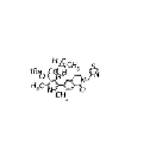 Cc1nc(C)c(C(OC(C)(C)C)C(=O)O)c(N2CCC(C)(C)CC2)c1-c1ccc2c(c1)CCN(Cc1cscn1)C2=O